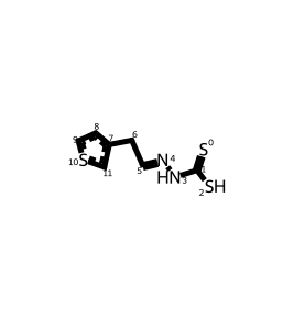 S=C(S)NN=CCc1ccsc1